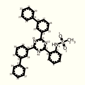 CS(=O)(=O)Nc1ccccc1-c1nc(-c2cccc(-c3ccccc3)c2)nc(-c2cccc(-c3ccccc3)c2)n1